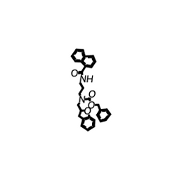 O=C(NCCCN(CC1Cc2ccccc2O1)C(=O)OCc1ccccc1)c1cccc2ccccc12